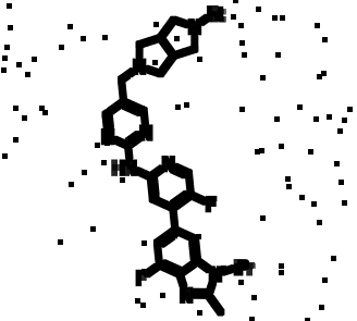 CCN1CC2CN(Cc3cnc(Nc4cc(-c5cc(F)c6nc(C)n(C(C)C)c6c5)c(F)cn4)nc3)CC2C1